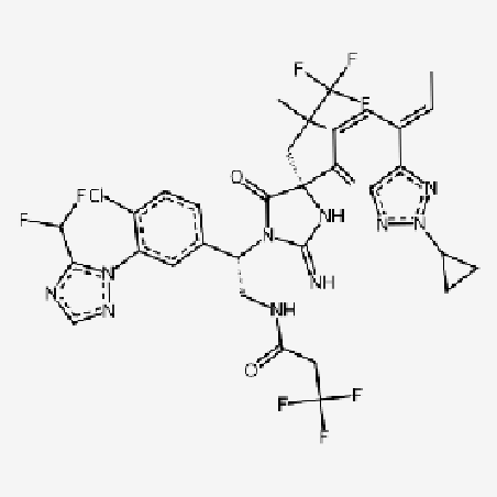 C=C(/C=C\C(=C/C)c1cnn(C2CC2)n1)[C@@]1(CC(C)(C)C(F)(F)F)NC(=N)N([C@H](CNC(=O)CC(F)(F)F)c2ccc(Cl)c(-n3ncnc3C(F)F)c2)C1=O